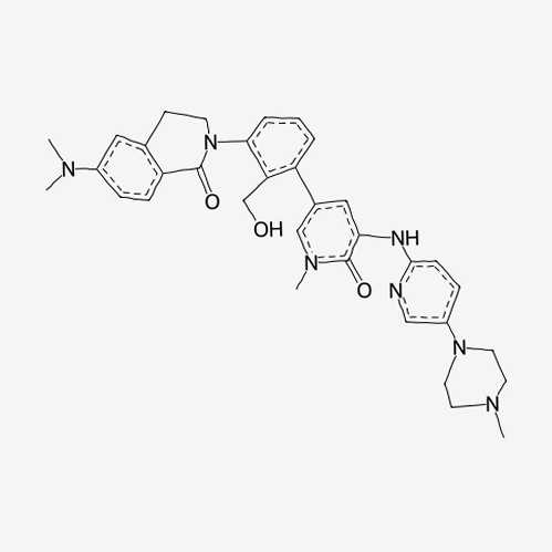 CN1CCN(c2ccc(Nc3cc(-c4cccc(N5CCc6cc(N(C)C)ccc6C5=O)c4CO)cn(C)c3=O)nc2)CC1